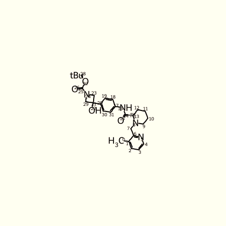 Cc1cccnc1CN1CCCC[C@@H]1C(=O)Nc1ccc(C2(O)CN(C(=O)OC(C)(C)C)C2)cc1